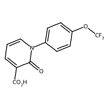 O=C(O)c1cccn(-c2ccc(OC(F)(F)F)cc2)c1=O